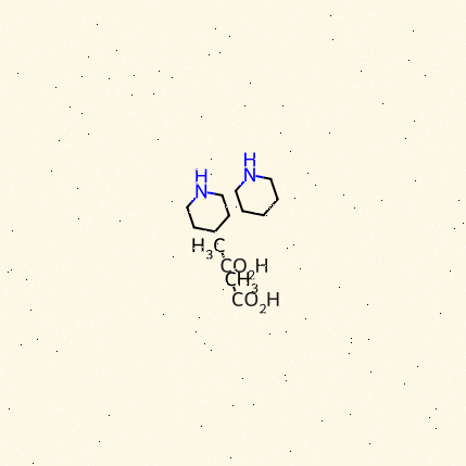 C1CCNCC1.C1CCNCC1.CC(=O)O.CC(=O)O